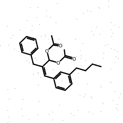 CCCCc1cccc(C=C(Cc2ccccc2)C(OC(C)=O)OC(C)=O)c1